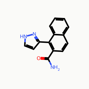 NC(=O)c1ccc2ccccc2c1-c1cc[nH]n1